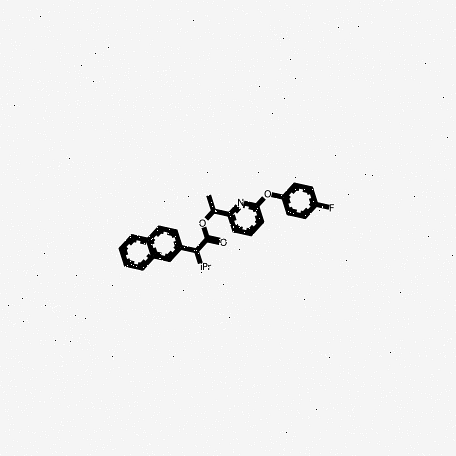 CC(OC(=O)C(c1ccc2ccccc2c1)C(C)C)c1cccc(Oc2ccc(F)cc2)n1